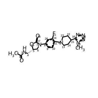 CC(=O)NC[C@H]1CN(c2ccc(N3CCC(c4nnnn4C)CC3)c(F)c2)C(=O)O1